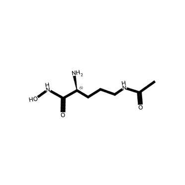 CC(=O)NCCC[C@H](N)C(=O)NO